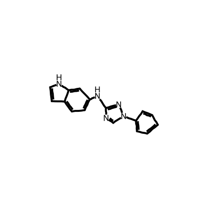 c1ccc(-n2cnc(Nc3ccc4cc[nH]c4c3)n2)cc1